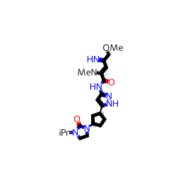 CN/C(=C\C(=N)COC)C(=O)Nc1cc([C@H]2CC[C@@H](N3CCN(C(C)C)C3=O)C2)[nH]n1